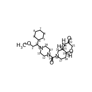 COCC(C1CCCCC1)N1CCN(C(=O)N2CC[C@@H]3OCC(=O)N[C@@H]3C2)CC1